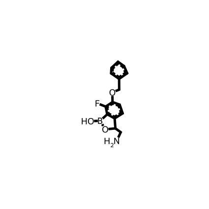 NCC1OB(O)c2c1ccc(OCc1ccccc1)c2F